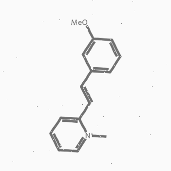 COc1cccc(/C=C/c2cccc[n+]2C)c1